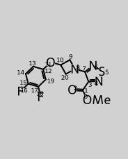 COC(=O)c1nsnc1N1CC(Oc2ccc(F)c(F)c2)C1